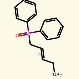 CC(=O)OC/C=C/CP(=O)(c1ccccc1)c1ccccc1